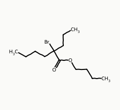 CCCCOC(=O)C(Br)(CCC)CCCC